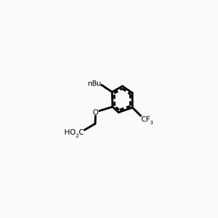 CCCCc1ccc(C(F)(F)F)cc1OCC(=O)O